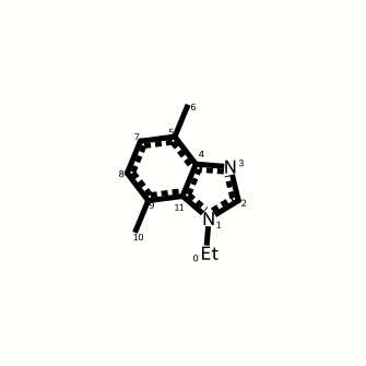 CCn1cnc2c(C)ccc(C)c21